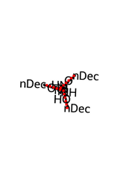 CCCCCCCCCCCCCCOCCCNc1nc(NCCCOCCCCCCCCCCCCCC)nc(NCCCOCCCCCCCCCCCCCC)n1